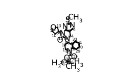 CSc1ncc2c(n1)N([C@H]1CCOC1)C(=O)N([C@H]1CCN(C(=O)OC(C)(C)C)c3ccccc31)C2